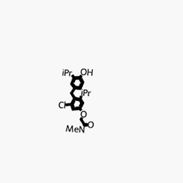 CNC(=O)COc1cc(Cl)c(Cc2ccc(O)c(C(C)C)c2)c(C(C)C)c1